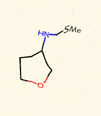 CSNC1CCOC1